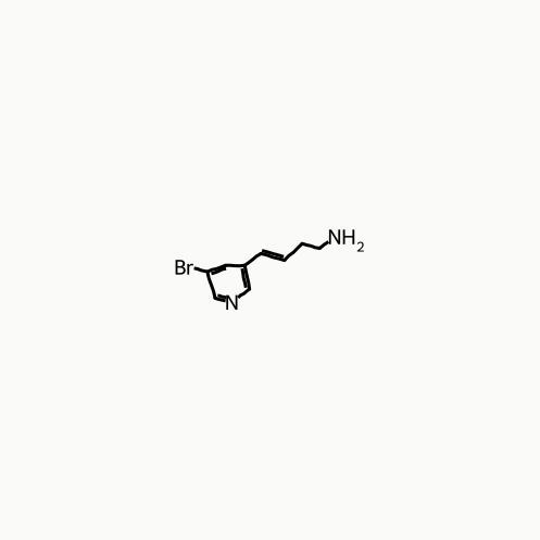 NCC/C=C/c1cncc(Br)c1